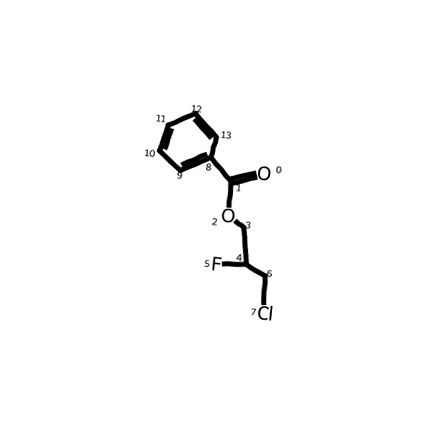 O=C(OCC(F)CCl)c1ccccc1